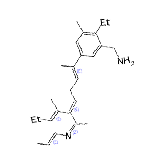 C/C=C/N=C(C)\C(=C\C/C=C(\C)c1cc(C)c(CC)c(CN)c1)C(\C)=C\CC